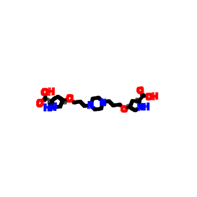 O=C(O)[C@@H]1C[C@H](OCCCN2CCN(CCCO[C@@H]3CN[C@H](C(=O)O)C3)CC2)CN1